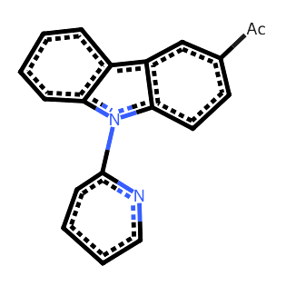 CC(=O)c1ccc2c(c1)c1ccccc1n2-c1ccccn1